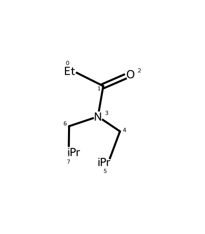 CCC(=O)N(CC(C)C)CC(C)C